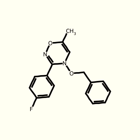 CC1=CN(OCc2ccccc2)C(c2ccc(F)cc2)=NO1